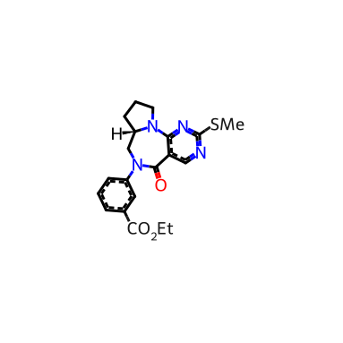 CCOC(=O)c1cccc(N2C[C@@H]3CCCN3c3nc(SC)ncc3C2=O)c1